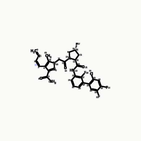 C=N/C=C\c1c(C(N)=O)nn(CC(=O)N2C[C@H](F)C[C@H]2C(=O)Nc2cccc(-c3cc(F)c(F)cc3Cl)c2F)c1C